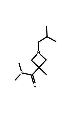 CC(C)CN1CC(C)(C(=O)N(C)C)C1